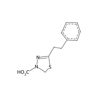 O=C(O)N1CSC(CCc2ccccc2)=N1